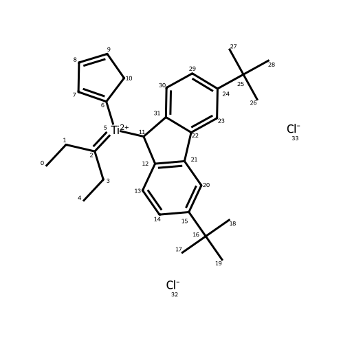 CC[C](CC)=[Ti+2]([C]1=CC=CC1)[CH]1c2ccc(C(C)(C)C)cc2-c2cc(C(C)(C)C)ccc21.[Cl-].[Cl-]